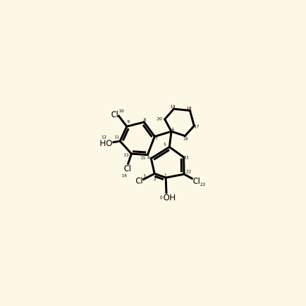 Oc1c(Cl)cc(C2(c3cc(Cl)c(O)c(Cl)c3)CCCCC2)cc1Cl